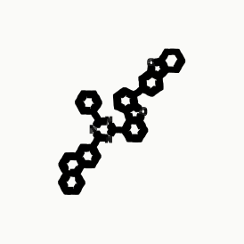 C1=Cc2c(oc3cc(-c4cccc5c4oc4cccc(-c6nc(-c7ccccc7)nc(-c7ccc8c(ccc9ccccc98)c7)n6)c45)ccc23)CC1